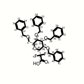 O=C(O)C(F)(F)[C@@H]1O[C@H](COCc2ccccc2)[C@H](OCc2ccccc2)[C@H](OCc2ccccc2)[C@H]1OCc1ccccc1